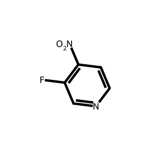 O=[N+]([O-])c1ccncc1F